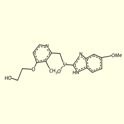 COc1ccc2[nH]c([S+]([O-])Cc3nccc(OCCO)c3C)nc2c1